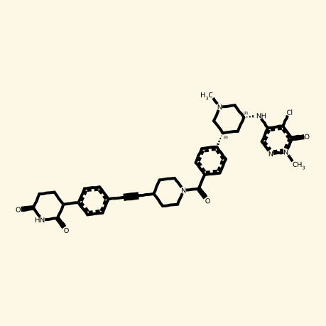 CN1C[C@H](Nc2cnn(C)c(=O)c2Cl)C[C@H](c2ccc(C(=O)N3CCC(C#Cc4ccc(C5CCC(=O)NC5=O)cc4)CC3)cc2)C1